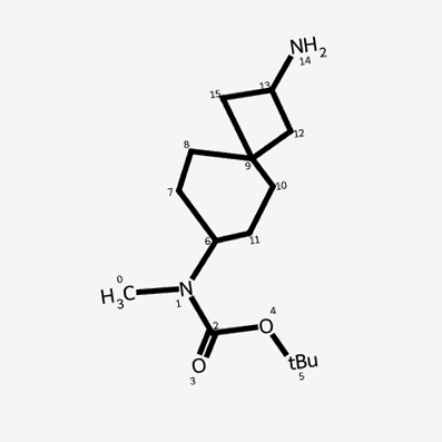 CN(C(=O)OC(C)(C)C)C1CCC2(CC1)CC(N)C2